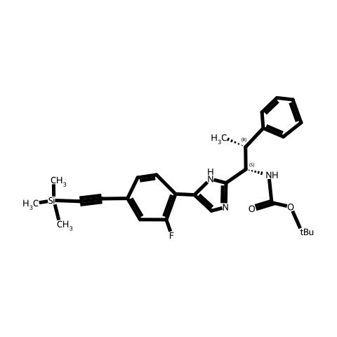 C[C@H](c1ccccc1)[C@H](NC(=O)OC(C)(C)C)c1ncc(-c2ccc(C#C[Si](C)(C)C)cc2F)[nH]1